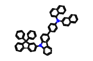 c1ccc(C2(c3ccccc3)c3ccccc3-c3ccc(-n4c5ccccc5c5cc(-c6ccc(N(c7ccc8ccccc8c7)c7cccc8ccccc78)cc6)ccc54)cc32)cc1